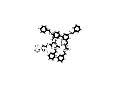 C[Si](C)(C)CCOC(=O)[C@H](Cc1cc(-c2cc(C[C@H](N)C(=O)OCc3ccccc3)cc(OCc3ccccc3)c2)ccc1OCc1ccccc1)NC(=O)OCc1ccccc1